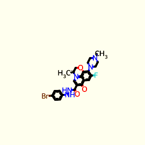 C[C@H]1COc2c(N3CCN(C)CC3)c(F)cc3c(=O)c(C(=O)NNc4ccc(Br)cc4)cn1c23